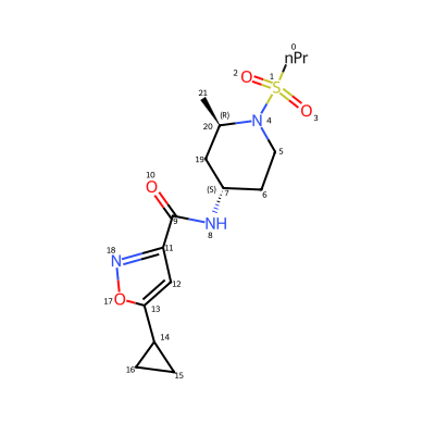 CCCS(=O)(=O)N1CC[C@H](NC(=O)c2cc(C3CC3)on2)C[C@H]1C